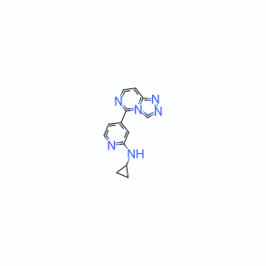 c1cc(-c2nccc3nncn23)cc(NC2CC2)n1